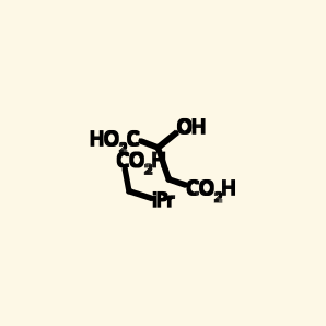 CC(C)CC(=O)O.O=C(O)CC(O)C(=O)O